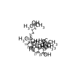 CC(SCCCCC(C)(C)O)C1=CC[C@H]2C3=CC=C4CC(O)CC(O[Si](C)(C)C(C)(C)C)[C@]4(C)[C@H]3CC[C@]12C